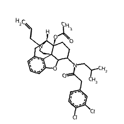 C=CCN1CC[C@]23c4c5cccc4OC2C(N(CC(C)C)C(=O)Cc2ccc(Cl)c(Cl)c2)CC[C@@]3(OC(C)=O)[C@H]1C5